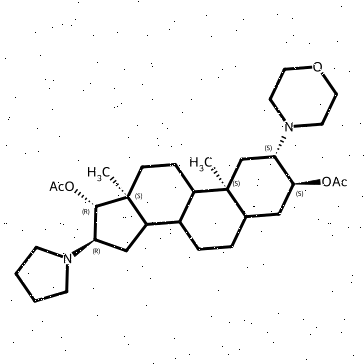 CC(=O)O[C@H]1CC2CCC3C(CC[C@@]4(C)C3C[C@@H](N3CCCC3)[C@@H]4OC(C)=O)[C@@]2(C)C[C@@H]1N1CCOCC1